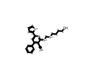 N#Cc1c(-c2ccccc2)cc(-c2cccs2)nc1SCSCCCCO